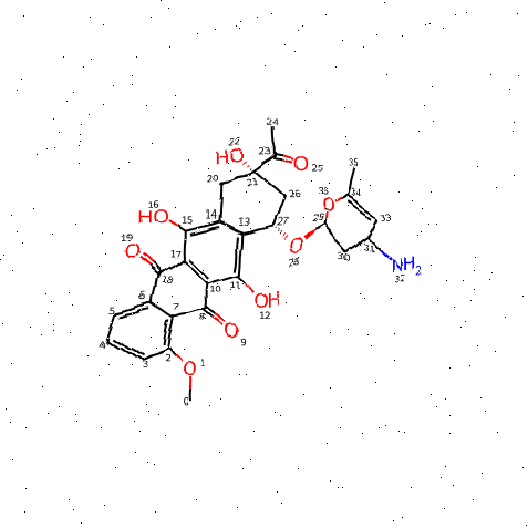 COc1cccc2c1C(=O)c1c(O)c3c(c(O)c1C2=O)C[C@@](O)(C(C)=O)C[C@@H]3O[C@@H]1CC(N)C=C(C)O1